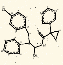 CC(NC(=O)C1(c2cccnc2)CC1)C(Cc1ccc(Cl)cc1)c1ccccc1